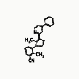 Cc1c(C#N)cccc1-c1cccc(-c2cc(-c3ccccc3)ccn2)c1C